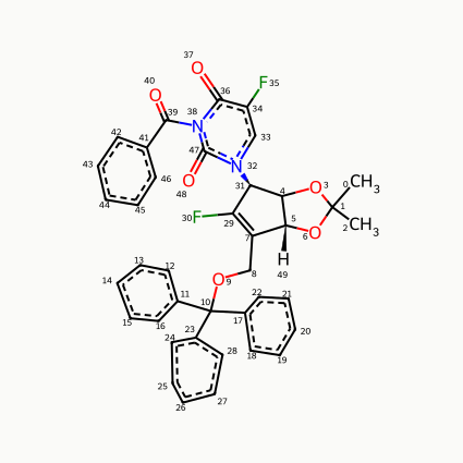 CC1(C)OC2[C@H](O1)C(COC(c1ccccc1)(c1ccccc1)c1ccccc1)=C(F)[C@H]2n1cc(F)c(=O)n(C(=O)c2ccccc2)c1=O